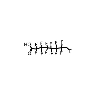 O=C(O)C(F)(F)C(F)(F)C(F)(F)C(F)(F)C(F)(F)C(F)(F)CF